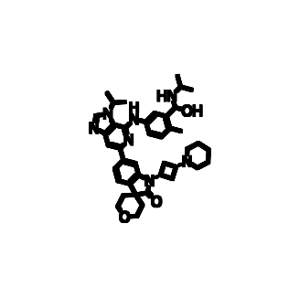 Cc1ccc(Nc2nc(-c3ccc4c(c3)N([C@H]3C[C@@H](N5CCCCC5)C3)C(=O)C43CCOCC3)cc3ncn(C(C)C)c23)cc1C(O)NC(C)C